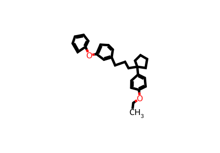 CCOc1ccc(C2(CCCc3cccc(Oc4ccccc4)c3)CCCC2)cc1